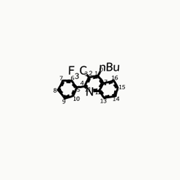 CCCCc1c(C(F)(F)F)c(-c2ccccc2)nc2ccccc12